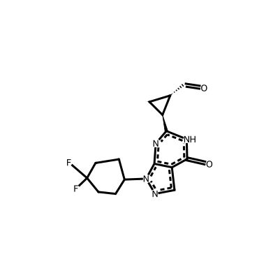 O=C[C@H]1C[C@@H]1c1nc2c(cnn2C2CCC(F)(F)CC2)c(=O)[nH]1